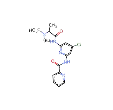 CC(C(=O)Nc1cc(Cl)cc(NC(=O)c2ccccn2)n1)N(C(=O)O)C(C)(C)C